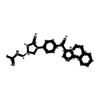 CC(=O)NC[C@H]1CN(c2ccc(C(=O)c3cnc4c5ccccc5ccn34)cc2)C(=O)O1